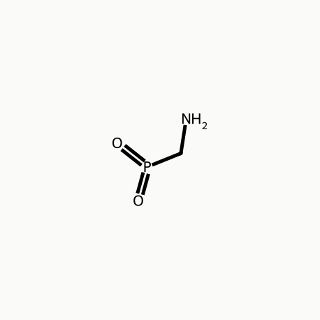 NCP(=O)=O